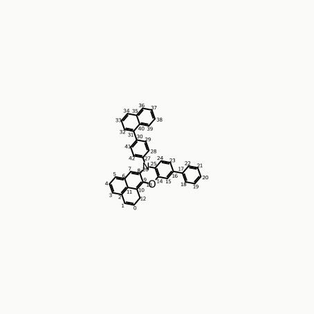 C1=Cc2cccc3cc4c(c(c23)C1)Oc1cc(-c2ccccc2)ccc1N4c1ccc(-c2cccc3ccccc23)cc1